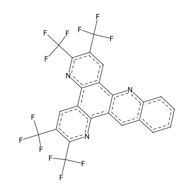 FC(F)(F)c1cc2c(nc1C(F)(F)F)c1cc(C(F)(F)F)c(C(F)(F)F)nc1c1cc3ccccc3nc21